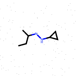 CCC(C)[N]NC1CC1